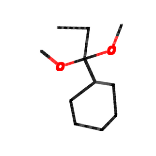 CCC(OC)(OC)C1CCCCC1